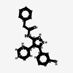 O=C(Cc1ccccc1)Nc1onc(-c2cccc(Br)c2)c1-c1ccncn1